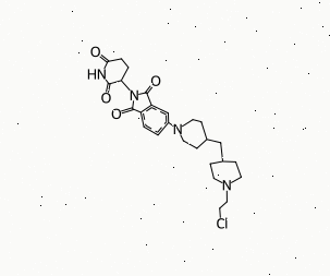 O=C1CCC(N2C(=O)c3ccc(N4CCC(CC5CCN(CCCl)CC5)CC4)cc3C2=O)C(=O)N1